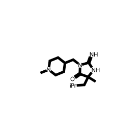 CC(C)CC1(C)NC(=N)N(CC2CCN(C)CC2)C1=O